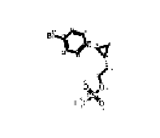 CS(=O)(=O)OCC[C@H]1C[C@H]1c1ccc(Br)cc1